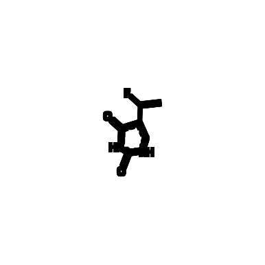 C=C(F)c1c[nH]c(=O)[nH]c1=O